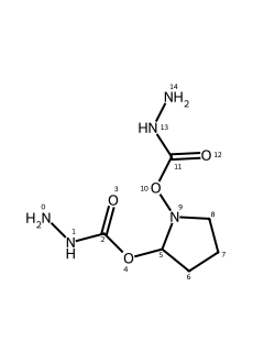 NNC(=O)OC1CCCN1OC(=O)NN